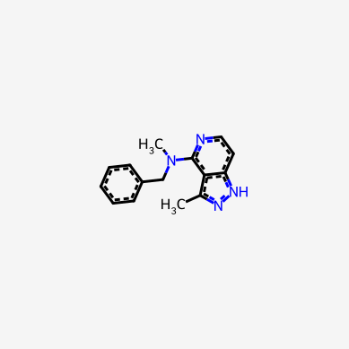 Cc1n[nH]c2ccnc(N(C)Cc3ccccc3)c12